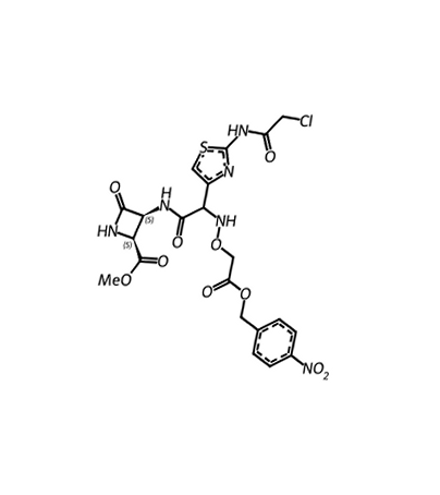 COC(=O)[C@H]1NC(=O)[C@H]1NC(=O)C(NOCC(=O)OCc1ccc([N+](=O)[O-])cc1)c1csc(NC(=O)CCl)n1